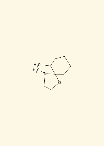 CC1CCCCC12OCCN2C